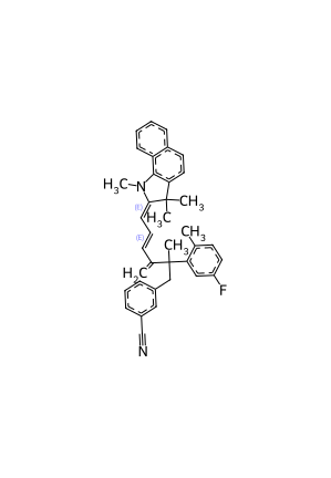 C=C(/C=C/C=C1/N(C)c2c(ccc3ccccc23)C1(C)C)C(C)(Cc1cccc(C#N)c1)c1cc(F)ccc1C